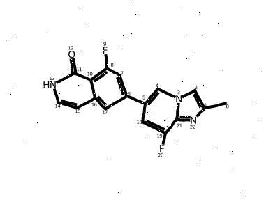 Cc1cn2cc(-c3cc(F)c4c(=O)[nH]ccc4c3)cc(F)c2n1